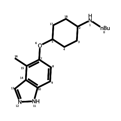 CCCCNC1CCC(Oc2ccc3[nH]ncc3c2C)CC1